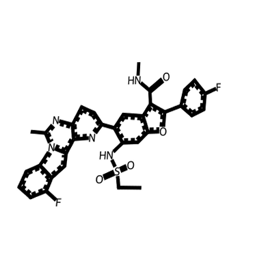 CCS(=O)(=O)Nc1cc2oc(-c3ccc(F)cc3)c(C(=O)NC)c2cc1-c1ccc2nc(C)n3c4cccc(F)c4cc3c2n1